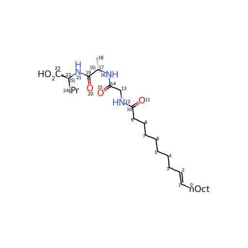 CCCCCCCCC=CCCCCCCCC(=O)NCC(=O)N[C@@H](C)C(=O)N[C@H](C(=O)O)C(C)C